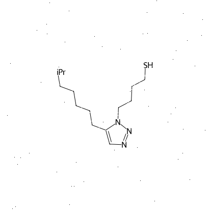 CC(C)CCCCCc1cnnn1CCCCS